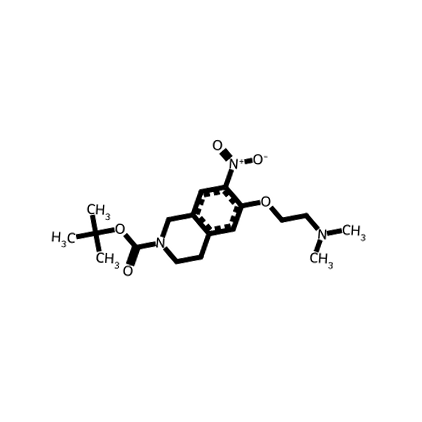 CN(C)CCOc1cc2c(cc1[N+](=O)[O-])CN(C(=O)OC(C)(C)C)CC2